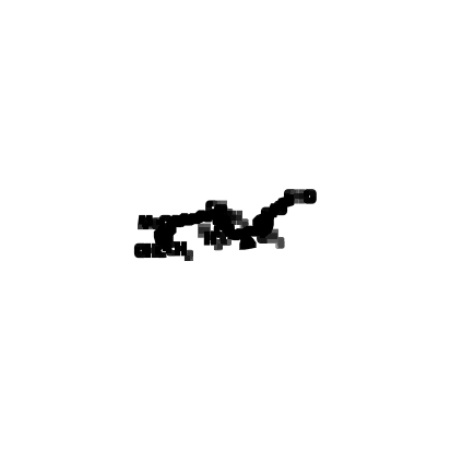 C=C(C=O)C1CCCC(CC(/C=C/C=C/C=C/CCC(C)C(=O)CC(C)/C(C)=C/C(C)CCC(CCC2CCC(OCCOCCC=O)CC[C@H]2C)C2CC2)OC)C1